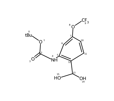 CC(C)(C)OC(=O)Nc1cc(OC(F)(F)F)ccc1C(O)O